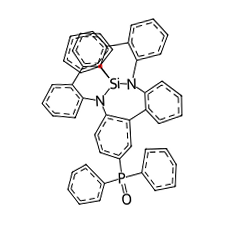 O=P(c1ccccc1)(c1ccccc1)c1ccc2c(c1)-c1ccccc1N1c3ccccc3-c3ccccc3[Si]13c1ccccc1-c1ccccc1N23